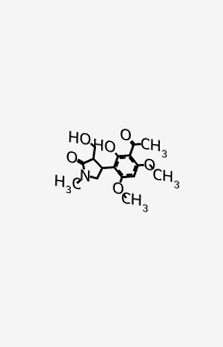 COc1cc(OC)c(C2CN(C)C(=O)C2CO)c(O)c1C(C)=O